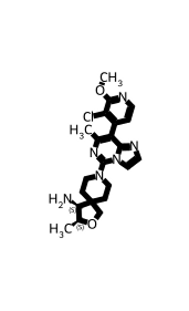 COc1nccc(-c2c(C)nc(N3CCC4(CC3)CO[C@@H](C)[C@H]4N)n3ccnc23)c1Cl